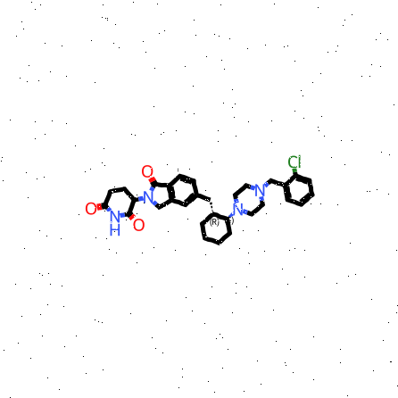 O=C1CCC(N2Cc3cc(C[C@H]4CCCC[C@@H]4N4CCN(Cc5ccccc5Cl)CC4)ccc3C2=O)C(=O)N1